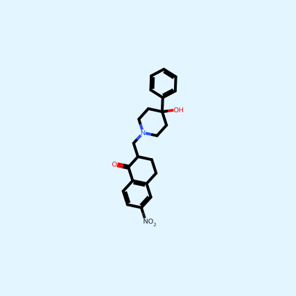 O=C1c2ccc([N+](=O)[O-])cc2CCC1CN1CCC(O)(c2ccccc2)CC1